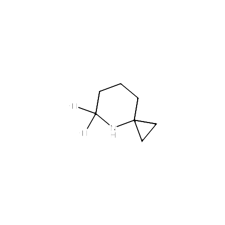 [2H]C1([2H])CCCC2(CC2)N1